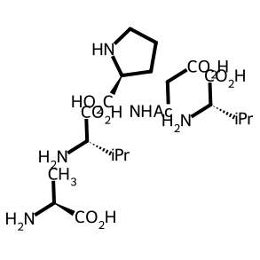 CC(=O)NCC(=O)O.CC(C)[C@H](N)C(=O)O.CC(C)[C@H](N)C(=O)O.C[C@H](N)C(=O)O.O=C(O)[C@@H]1CCCN1